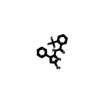 O=C(Nc1[nH]c(S)nc1-c1ccccc1)c1ccccc1C(F)(F)F